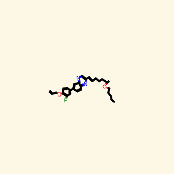 C=CCOc1ccc(-c2ccc3nc(C=CCCCC(C)OCCCCC)cnc3c2)cc1F